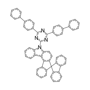 c1ccc(-c2ccc(-c3nc(-c4ccc(-c5ccccc5)cc4)nc(-n4c5ccccc5c5c6c(ccc54)C4(c5ccccc5-c5ccccc54)c4ccccc4-6)n3)cc2)cc1